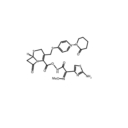 CO/N=C(\C(=O)NOC(=O)C1=C(CSc2cc[n+](N3CCCCC3=O)cc2)CS[C@H]2CC(=O)N12)c1csc(N)n1